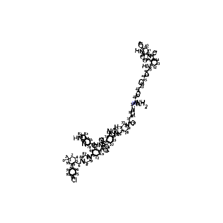 CC1(C)CCC(CN2CCN(c3ccc(C(=O)NS(=O)(=O)c4ccc(NCC5CCN(C(=O)CCCN/C=C(\N)COCCOCCOCCNc6cccc7c6C(=O)N(C6CCC(=O)NC6=O)C7=O)CC5)c([N+](=O)[O-])c4)c(Oc4cnc5[nH]ccc5c4)c3)CC2)=C(c2ccc(Cl)cc2)C1